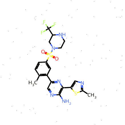 Cc1ncc(-c2nc(-c3cc(S(=O)(=O)N4CCNC(C(F)(F)F)C4)ccc3C)cnc2N)s1